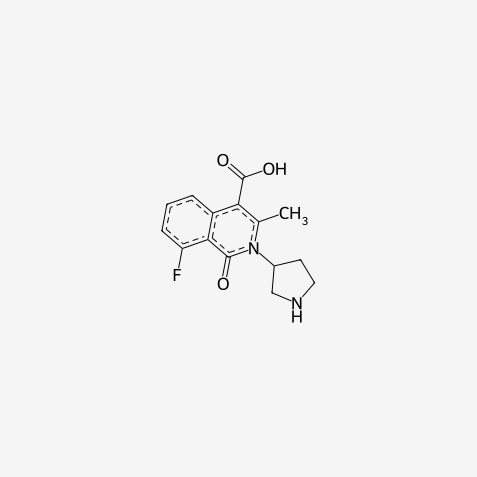 Cc1c(C(=O)O)c2cccc(F)c2c(=O)n1C1CCNC1